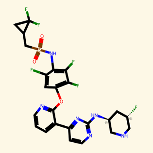 O=S(=O)(CC1CC1(F)F)Nc1c(F)cc(Oc2ncccc2-c2ccnc(N[C@@H]3CNC[C@@H](F)C3)n2)c(F)c1F